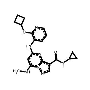 CNc1cc(Nc2cccnc2OC2CCC2)nc2c(C(=O)NC3CC3)cnn12